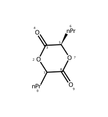 CCCC1OC(=O)[C@@H](CCC)OC1=O